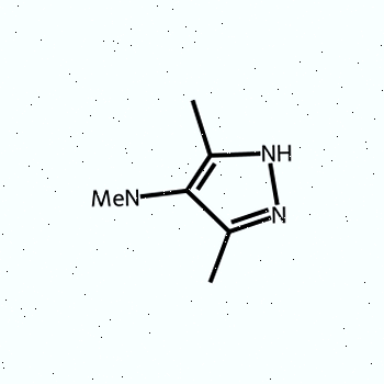 CNc1c(C)n[nH]c1C